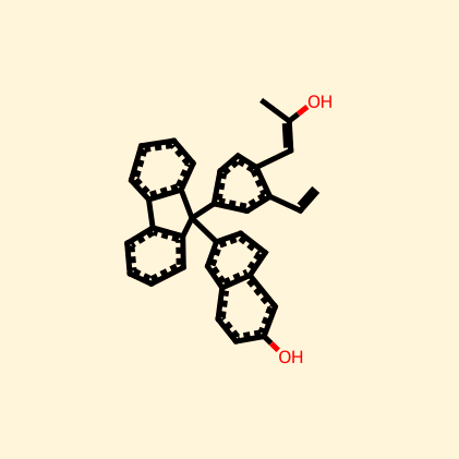 C=Cc1cc(C2(c3ccc4cc(O)ccc4c3)c3ccccc3-c3ccccc32)ccc1/C=C(\C)O